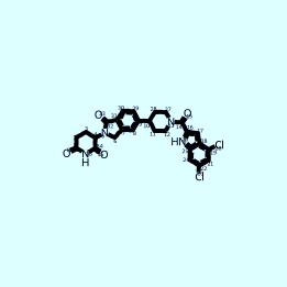 O=C1CCC(N2Cc3cc(C4CCN(C(=O)c5cc6c(Cl)cc(Cl)cc6[nH]5)CC4)ccc3C2=O)C(=O)N1